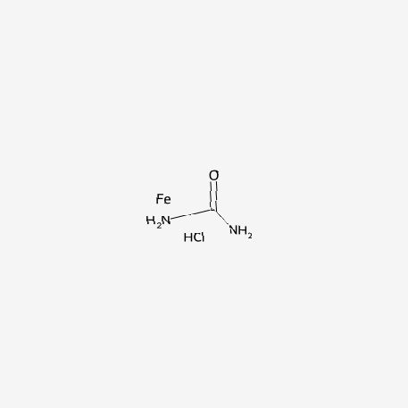 Cl.NC(N)=O.[Fe]